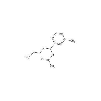 CCCCC(OC(C)=O)c1cccc(C)c1